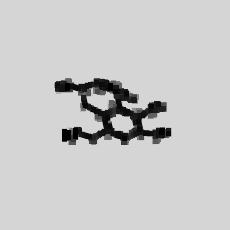 CC(C)(C)c1cc(CP)c(CP(C(C)(C)C)C(C)(C)C)c(C(C)(C)C)c1C(C)(C)C